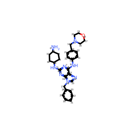 NC1CCC(Nc2nc(Nc3ccc(CN4CCOCC4)cc3)c3ncn(Cc4ccccc4)c3n2)CC1